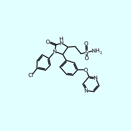 NS(=O)(=O)CCC1NC(=O)N(c2ccc(Cl)cc2)C1c1cccc(Oc2cnccn2)c1